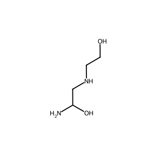 NC(O)CNCCO